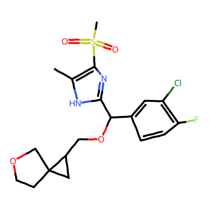 Cc1[nH]c(C(OCC2CC23CCOC3)c2ccc(F)c(Cl)c2)nc1S(C)(=O)=O